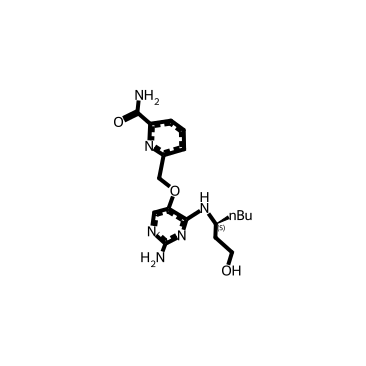 CCCC[C@@H](CCO)Nc1nc(N)ncc1OCc1cccc(C(N)=O)n1